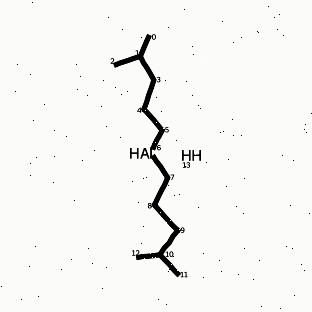 CC(C)CC[CH2][AlH][CH2]CCC(C)C.[HH]